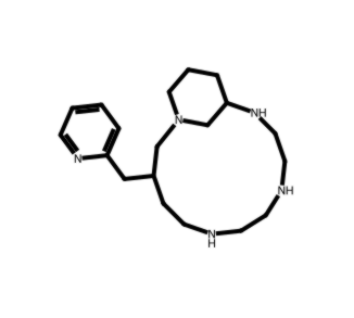 c1ccc(CC2CCNCCNCCNC3CCCN(C2)C3)nc1